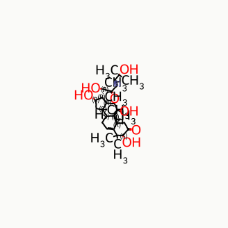 CC(C)(O)/C=C/C(=O)[C@](C)(O)[C@H]1[C@H](O)C[C@@]2(C)[C@@H]3CC=C4[C@@H](CC(=O)[C@@H](O)C4(C)C)[C@]3(C)C(O)C[C@]12C